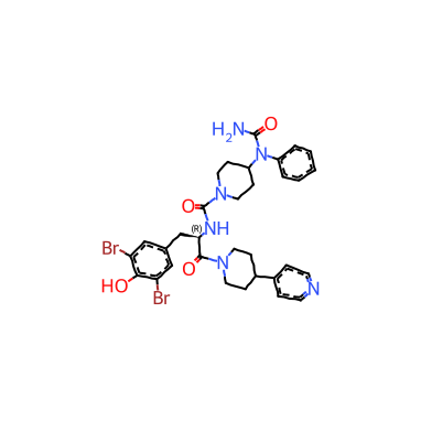 NC(=O)N(c1ccccc1)C1CCN(C(=O)N[C@H](Cc2cc(Br)c(O)c(Br)c2)C(=O)N2CCC(c3ccncc3)CC2)CC1